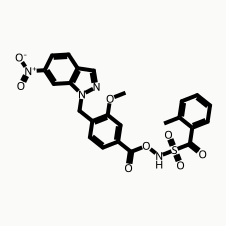 COc1cc(C(=O)ONS(=O)(=O)C(=O)c2ccccc2C)ccc1Cn1ncc2ccc([N+](=O)[O-])cc21